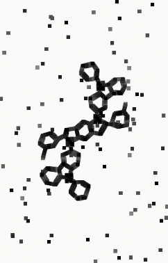 Cc1cccc(-c2cc3cc4c(cc(-c5cccc(C)c5)n4-c4ccc5c(c4)c4ccccc4n5-c4ccccc4)cc3n2-c2ccc3c(c2)c2ccccc2n3-c2ccccc2)c1